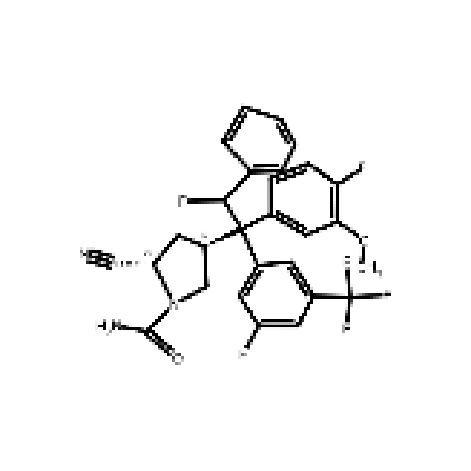 COc1cc(C(c2cc(F)cc(C(F)(F)F)c2)(C(F)c2ccccc2)[C@@H]2C[C@@H](C#N)N(C(N)=O)C2)ccc1F